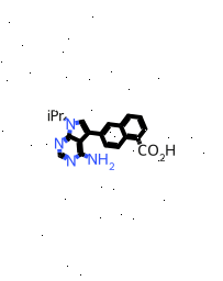 CC(C)n1cc(-c2ccc3c(C(=O)O)cccc3c2)c2c(N)ncnc21